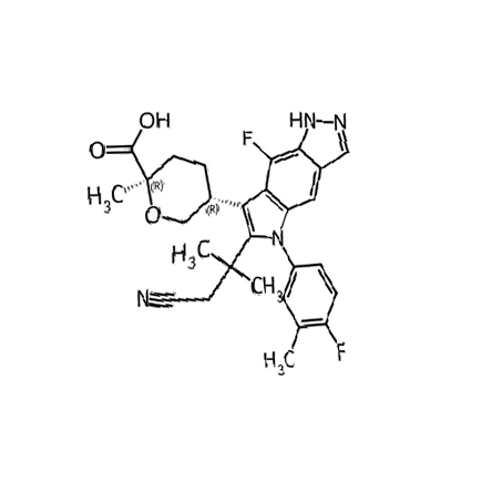 Cc1cc(-n2c(C(C)(C)CC#N)c([C@H]3CC[C@](C)(C(=O)O)OC3)c3c(F)c4[nH]ncc4cc32)ccc1F